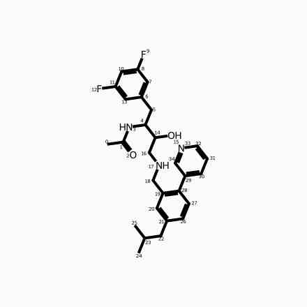 CC(=O)NC(Cc1cc(F)cc(F)c1)C(O)CNCc1cc(CC(C)C)ccc1-c1cccnc1